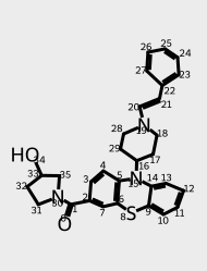 O=C(c1ccc2c(c1)Sc1ccccc1N2C1CCN(C=Cc2ccccc2)CC1)N1CCC(O)C1